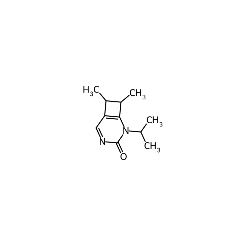 CC1c2cnc(=O)n(C(C)C)c2C1C